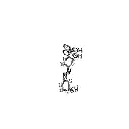 O=P(O)(O)Oc1ccc(N=Nc2cccc(S)c2)cc1